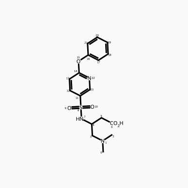 CN(C)CC(CC(=O)O)NS(=O)(=O)c1ccc(Oc2ccccc2)nc1